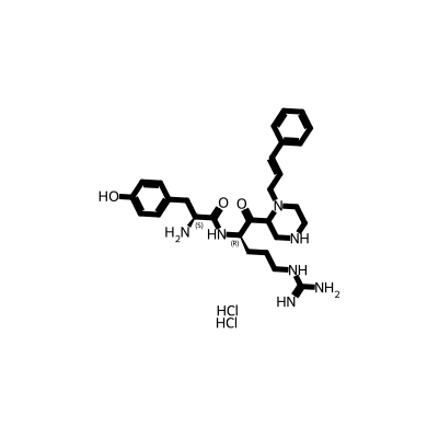 Cl.Cl.N=C(N)NCCC[C@@H](NC(=O)[C@@H](N)Cc1ccc(O)cc1)C(=O)C1CNCCN1CC=Cc1ccccc1